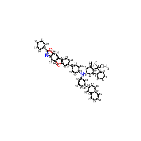 CC1(C)c2ccccc2-c2cc(N(c3ccc(-c4ccc5c(c4)oc4cc6nc(-c7ccccc7)oc6cc45)cc3)c3cccc(-c4ccc5ccccc5c4)c3)ccc21